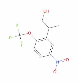 C[C](CO)c1cc([N+](=O)[O-])ccc1OC(F)(F)F